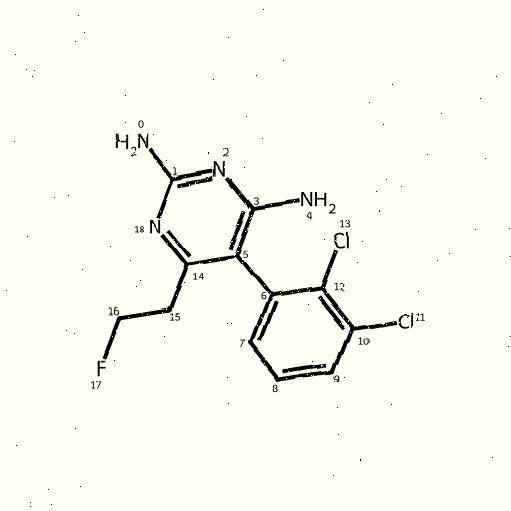 Nc1nc(N)c(-c2cccc(Cl)c2Cl)c(CCF)n1